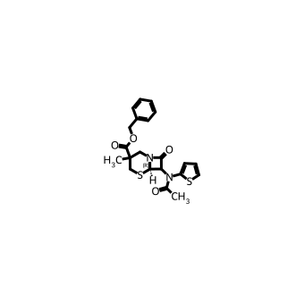 CC(=O)N(c1cccs1)C1C(=O)N2CC(C)(C(=O)OCc3ccccc3)CS[C@H]12